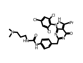 CC(C)c1[nH]n(-c2c(Cl)cc(Cl)cc2Cl)c2nc(Cc3ccc(NC(=O)NCCCN(C)C)cc3)nc(=O)c1-2